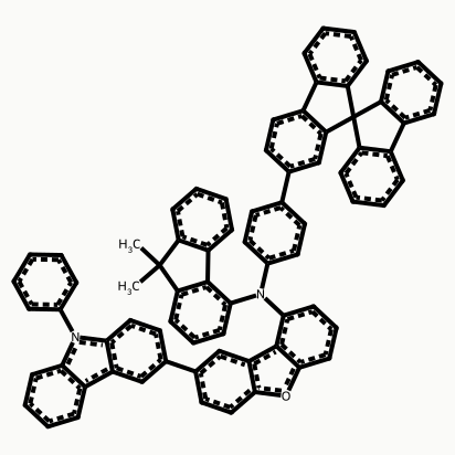 CC1(C)c2ccccc2-c2c(N(c3ccc(-c4ccc5c(c4)C4(c6ccccc6-c6ccccc64)c4ccccc4-5)cc3)c3cccc4oc5ccc(-c6ccc7c(c6)c6ccccc6n7-c6ccccc6)cc5c34)cccc21